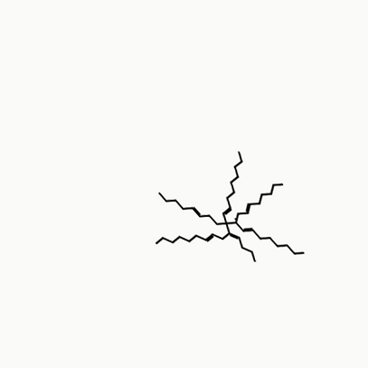 CCCC=C(CC=CCCCCCC)C(C=CCCCCCCC)(CCC=CCCCC)[C](C=CCCCCCC)CC=CCCCCC